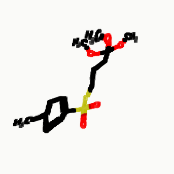 COC(CCCSS(=O)(=O)c1ccc(C)cc1)(OC)OC